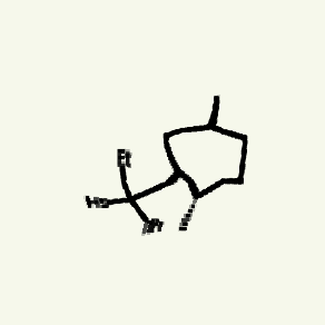 CCCC(S)(CC)C1CC(C)CC[C@@H]1C